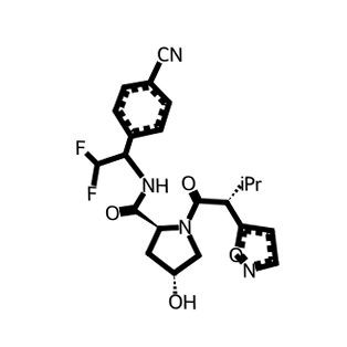 CC(C)[C@@H](C(=O)N1C[C@H](O)C[C@H]1C(=O)NC(c1ccc(C#N)cc1)C(F)F)c1ccno1